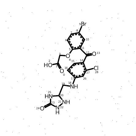 O=C(O)COc1ccc(Br)cc1C(=O)c1ccc(NCC2NNC(=O)N2)cc1Cl